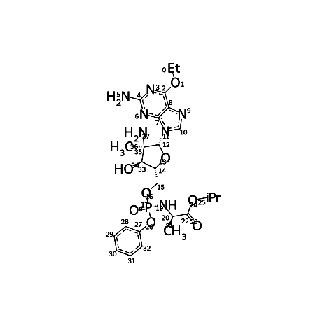 CCOc1nc(N)nc2c1ncn2[C@@H]1O[C@H](CO[P@@](=O)(N[C@H](C)C(=O)OC(C)C)Oc2ccccc2)[C@@H](O)[C@@]1(C)N